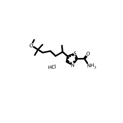 COC(C)(C)CCCC(C)c1cnc(C(N)=O)s1.Cl